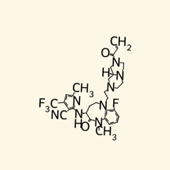 C=CC(=O)N1CCN2CCN(CCN3CC[C@H](Nc4nc(C)cc(C(F)(F)F)c4C#N)C(=O)N(C)c4cccc(F)c43)C[C@@H]2C1